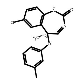 Cc1cccc(O[C@]2(C(F)(F)F)C=NC(=O)Nc3ccc(Cl)cc32)c1